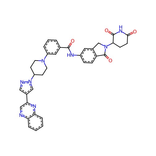 O=C1CCC(N2Cc3cc(NC(=O)c4cccc(N5CCC(n6cc(-c7cnc8ccccc8n7)cn6)CC5)c4)ccc3C2=O)C(=O)N1